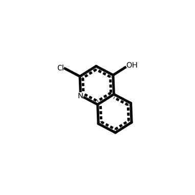 Oc1cc(Cl)nc2ccccc12